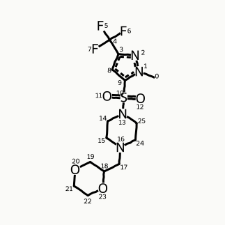 Cn1nc(C(F)(F)F)cc1S(=O)(=O)N1CCN(CC2COCCO2)CC1